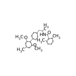 COc1cc(C)cc(OC)c1-c1ccc(CC(C)NC(=O)c2c(C)cccc2C)cc1